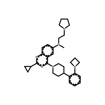 CN(CCN1CCCC1)c1ccc2nc(C3CC3)nc(N3CCC(c4ccccc4N4CCC4)CC3)c2c1